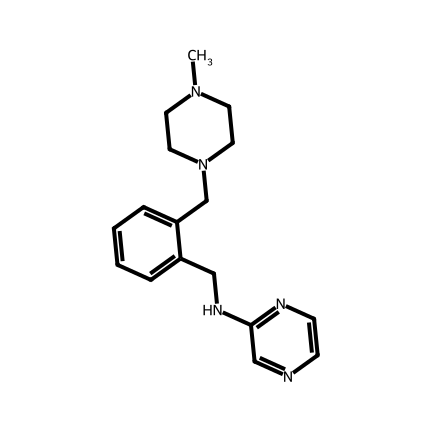 CN1CCN(Cc2ccccc2CNc2cnccn2)CC1